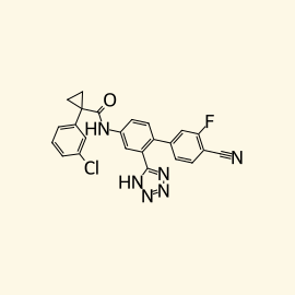 N#Cc1ccc(-c2ccc(NC(=O)C3(c4cccc(Cl)c4)CC3)cc2-c2nnn[nH]2)cc1F